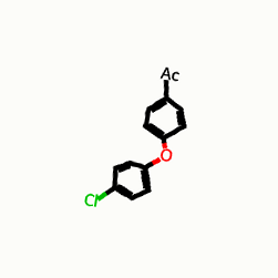 CC(=O)c1ccc(Oc2ccc(Cl)cc2)cc1